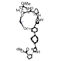 COC(=O)N[C@@H]1C(=O)N2CCC[C@H]2c2nc(c[nH]2)-c2ccc(-c3ccc(-c4c[nH]c([C@@H]5CCCN5C(=O)OC(C)(C)C)n4)cc3)cc2COC/C=C/CO[C@@H]1C